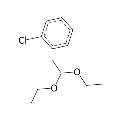 CCOC(C)OCC.Clc1ccccc1